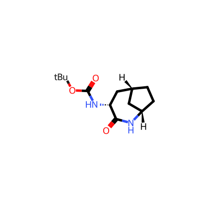 CC(C)(C)OC(=O)N[C@@H]1C[C@@H]2CC[C@@H](C2)NC1=O